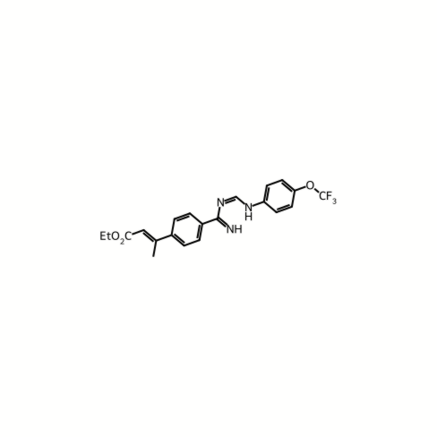 CCOC(=O)/C=C(\C)c1ccc(C(=N)/N=C\Nc2ccc(OC(F)(F)F)cc2)cc1